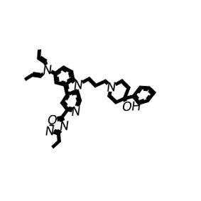 CC=CN(C=CC)c1ccc2c(c1)c1cc(-c3nc(CC)no3)ncc1n2CCCN1CCC(O)(c2ccccc2)CC1